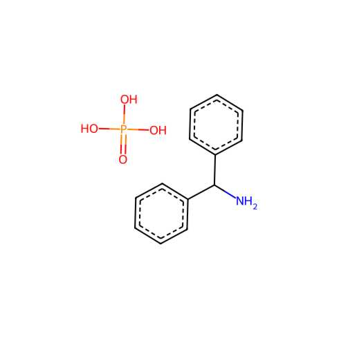 NC(c1ccccc1)c1ccccc1.O=P(O)(O)O